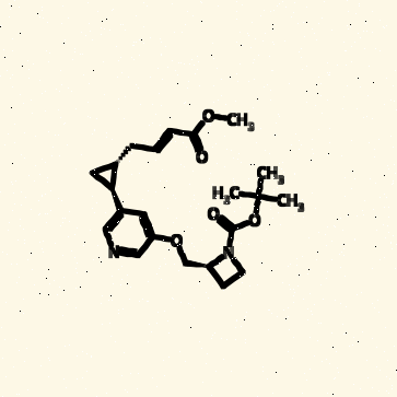 COC(=O)/C=C/C[C@H]1C[C@@H]1c1cncc(OC[C@@H]2CCN2C(=O)OC(C)(C)C)c1